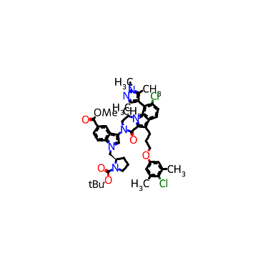 COC(=O)c1ccc2c(c1)c(N1C[C@H](C)n3c(c(CCCOc4cc(C)c(Cl)c(C)c4)c4ccc(Cl)c(-c5c(C)nn(C)c5C)c43)C1=O)cn2C[C@H]1CCCN1C(=O)OC(C)(C)C